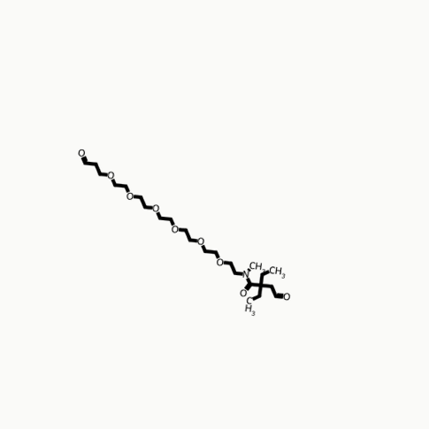 CCC(CC)(CC=O)C(=O)N(C)CCOCCOCCOCCOCCOCCOCCC=O